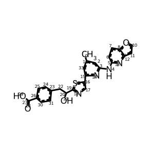 Cc1cc(Nc2ccc3occc3n2)nc(-c2cnc(C(O)Cc3ccc(C(=O)O)cc3)s2)c1